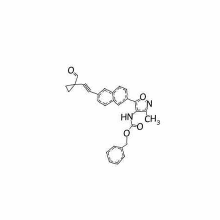 Cc1noc(-c2ccc3cc(C#CC4(C=O)CC4)ccc3c2)c1NC(=O)OCc1ccccc1